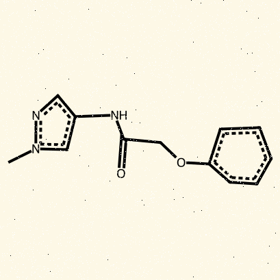 Cn1cc(NC(=O)COc2ccccc2)cn1